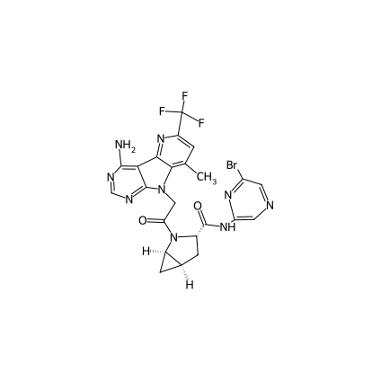 Cc1cc(C(F)(F)F)nc2c3c(N)ncnc3n(CC(=O)N3[C@@H]4C[C@@H]4C[C@H]3C(=O)Nc3cncc(Br)n3)c12